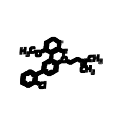 COC1=CC[CH]C(F)=C1c1cc(-c2ccccc2Cl)ccc1OCCN(C)C